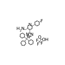 NCc1cnc(-c2ccc(F)cc2)cc1-c1ncn(C(c2ccccc2)(c2ccccc2)c2ccccc2)n1.O=C(O)C(F)(F)F